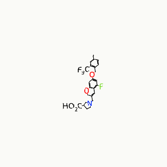 Cc1ccc(COc2cc(F)c3c(c2)OCC(CN2CCC(C(=O)O)C2)=C3)c(C(F)(F)F)c1